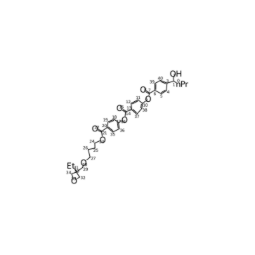 CCCC(O)c1ccc(C(=O)Oc2ccc(C(=O)Oc3ccc(C(=O)OCCCCOCC4(CC)COC4)cc3)cc2)cc1